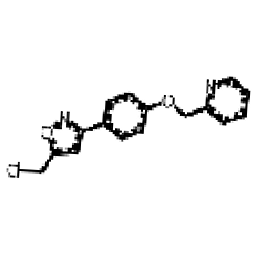 ClCc1cc(-c2ccc(OCc3ccccn3)cc2)no1